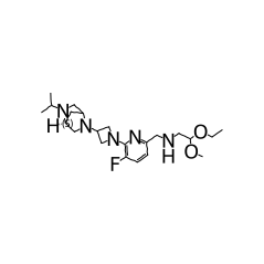 CCOC(CNCc1ccc(F)c(N2CC(N3C[C@@H]4CC3CN4C(C)C)C2)n1)OC